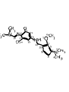 COc1cc(N(C)C)ccc1CNc1cc(Cl)c(N=CN(C)C)c(Cl)c1